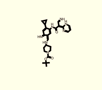 CC(C)(C)OC(=O)N1CCC(N/C=C2/C=C(NC(=O)/C(C=N)=C3\N=CC=CN3)C(C3CC3)=CC2=N)CC1